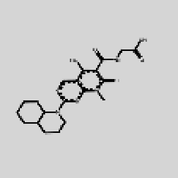 Cn1c(=O)c(C(=O)NCC(=O)O)c(O)c2cnc(N3CCCC4CCCCC43)nc21